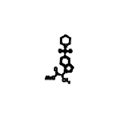 COC(=O)C(C)n1ccc2cc(S(=O)(=O)N3CCCCC3)ccc21